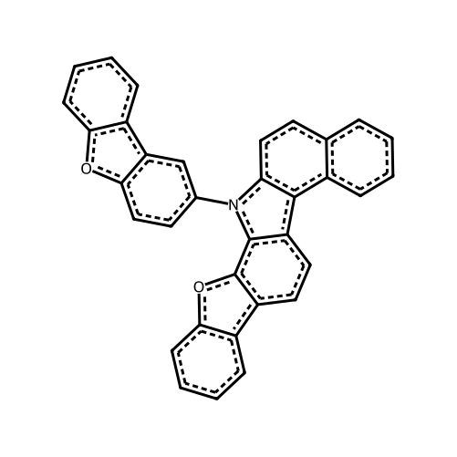 c1ccc2c(c1)ccc1c2c2ccc3c4ccccc4oc3c2n1-c1ccc2oc3ccccc3c2c1